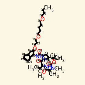 CCCCOCCCCCOCCCO[C@@H]1Cc2ccccc2[C@@H]1NC(=O)[C@@H]1CCCN1C(=O)[C@@H](NC(=O)[C@H](C)N(C)C(=O)OC(C)(C)C)C(C)C